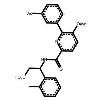 COc1ccc(C(=O)NC(CC(=O)O)c2ccccc2C)nc1-c1cccc(C(C)=O)c1